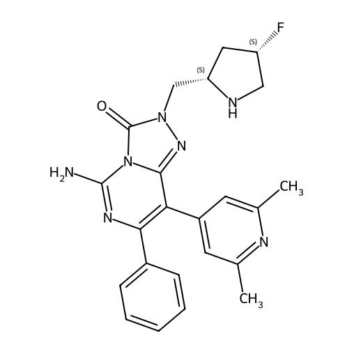 Cc1cc(-c2c(-c3ccccc3)nc(N)n3c(=O)n(C[C@@H]4C[C@H](F)CN4)nc23)cc(C)n1